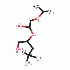 CC(C)OCC(O)OC(CO)CC(C)(C)C